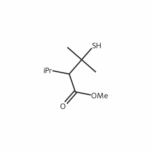 COC(=O)C(C(C)C)C(C)(C)S